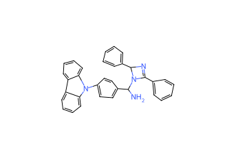 NC(c1ccc(-n2c3ccccc3c3ccccc32)cc1)N1C(c2ccccc2)=NC1c1ccccc1